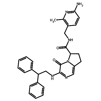 Cc1nc(N)ccc1CNC(=O)C1CCc2cnc(NCC(c3ccccc3)c3ccccc3)c(=O)n21